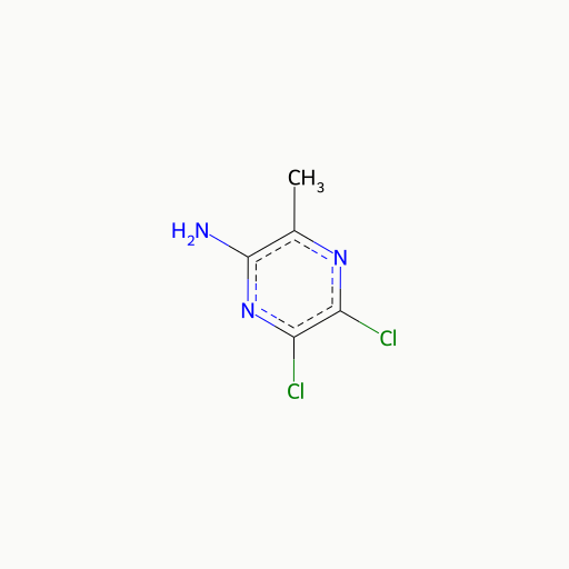 Cc1nc(Cl)c(Cl)nc1N